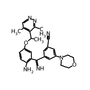 Cc1cnnc(C)c1C(C)Oc1ccc(N)c(C(=N)c2cc(C#N)cc(N3CCOCC3)c2)c1